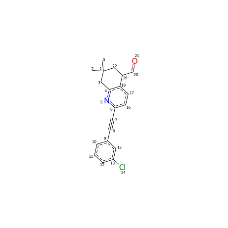 CC1(C)Cc2nc(C#Cc3cccc(Cl)c3)ccc2C(C=O)C1